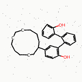 Oc1ccccc1-c1ccccc1-c1cc(C2CCCCCCCCCCC2)ccc1O